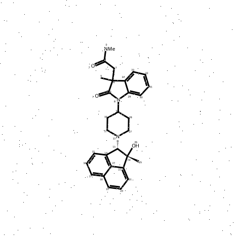 CNC(=O)CC1(C)C(=O)N(C2CCN([C@H]3c4cccc5cccc(c45)[C@@]3(C)O)CC2)c2ccccc21